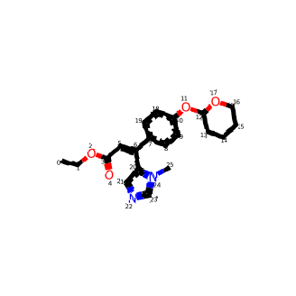 CCOC(=O)C=C(c1ccc(OC2CCCCO2)cc1)c1cncn1C